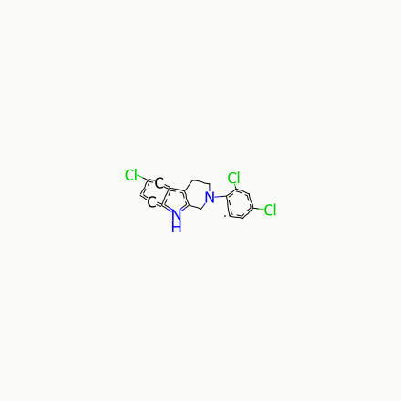 Clc1c[c]c(N2CCc3c([nH]c4ccc(Cl)cc34)C2)c(Cl)c1